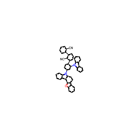 N#Cc1ccccc1-c1cccc(-c2ccc(-n3c4ccccc4c4c5oc6ccccc6c5ccc43)cc2-n2c3ccccc3c3ccccc32)c1C#N